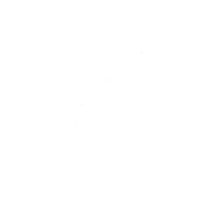 O=C(O)CCC(=O)c1ccc(-c2cccs2)cc1